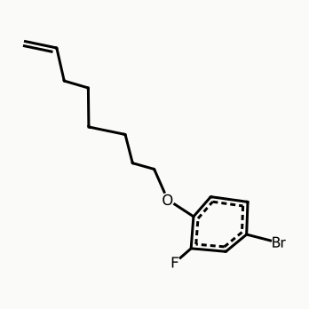 C=CCCCCCCOc1ccc(Br)cc1F